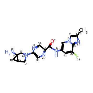 Cc1cn2cc(NC(=O)c3cnc(N4CC5CC5(N)C4)cn3)cc(F)c2n1